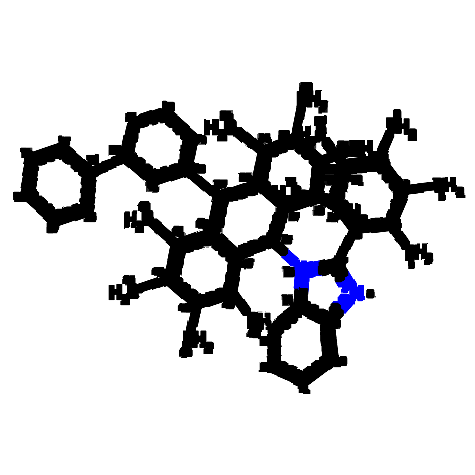 Bc1c(B)c(B)c(-c2nc3ccccc3n2-c2c3c(B)c(B)c(B)c(B)c3c(-c3cccc(-c4ccccc4)c3)c3c(B)c(B)c(B)c(B)c23)c(B)c1B